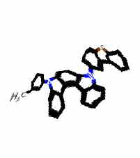 Cc1cccc(-n2c3ccccc3c3c4c5ccccc5n(-c5ccc6sc7ccccc7c6c5)c4ccc32)c1